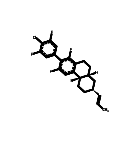 C/C=C/[C@@H]1CC[C@@H]2c3cc(F)c(-c4cc(F)c(Cl)c(F)c4)c(F)c3CC[C@@H]2C1